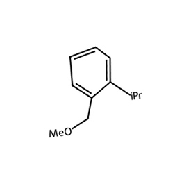 COCc1ccccc1C(C)C